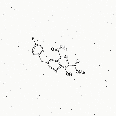 COC(=O)c1nc(C(N)=O)c2cc(Cc3ccc(F)cc3)cnc2c1O